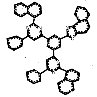 c1ccc(-c2cc(-c3cc(-c4cc(-c5ccccc5)nc(-c5cccc6ccccc56)n4)cc(-c4nc5c(ccc6ccccc65)o4)c3)nc(-c3cccc4ccccc34)n2)cc1